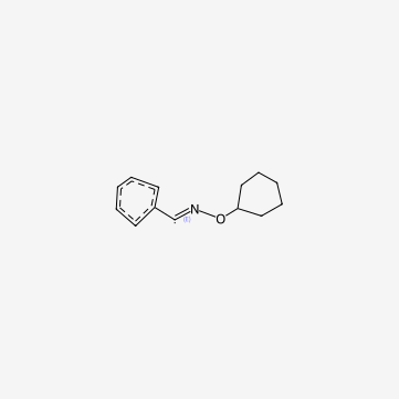 [C](=N\OC1CCCCC1)/c1ccccc1